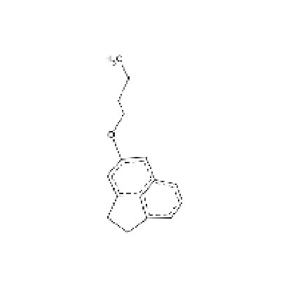 CCCCOc1cc2c3c(cccc3c1)CC2